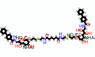 CC(=O)N[C@H]1[C@H]([C@H](O)[C@H](O)CNC(=O)c2ccc(-c3ccccc3)cc2)C[C@@](OCCCSCCNC(=O)CCCCC(=O)NCCSCCCO[C@]2(C(=O)O)C[C@H](O)[C@@H](NC(C)=O)[C@H]([C@H](O)[C@H](O)CNC(=O)c3ccc(-c4ccccc4)cc3)O2)(C(=O)O)C[C@@H]1O